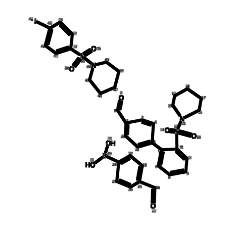 O=Cc1ccc(-c2ccccc2S(=O)(=O)N2CCCCC2)cc1.O=Cc1ccc(B(O)O)cc1.O=S(=O)(c1ccc(I)cc1)N1CCCCC1